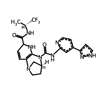 C[C@@H](NC(=O)C1C=CC2=C(N1)N(C(=O)Nc1cc(-c3cc[nH]n3)ccn1)[C@H]1CCN2C1)C(F)(F)F